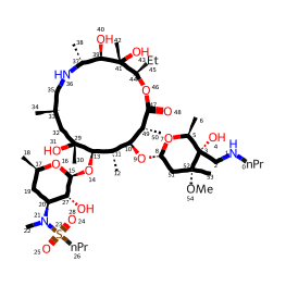 CCCNC[C@]1(O)[C@H](C)O[C@@H](O[C@H]2[C@H](C)[C@@H](O[C@@H]3O[C@H](C)C[C@H](N(C)S(=O)(=O)CCC)[C@H]3O)[C@](C)(O)C[C@@H](C)CN[C@H](C)[C@@H](O)[C@](C)(O)[C@@H](CC)OC(=O)[C@@H]2C)C[C@@]1(C)OC